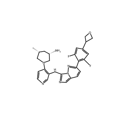 C[C@@H]1C[C@H](N)CN(c2ccncc2Nc2ncc3ccc(-c4c(F)cc(C5COC5)cc4F)nn23)C1